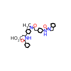 CN(C(=O)Cc1ccc(NC(=O)N2CCc3ccccc32)cc1)c1ccc(C(CC(=O)O)NC(=O)c2ccccc2)cc1